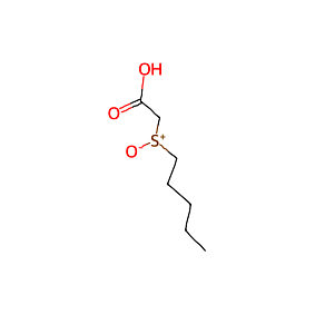 CCCCC[S+]([O-])CC(=O)O